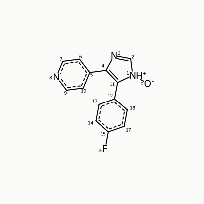 [O-][NH+]1C=NC(c2ccncc2)=C1c1ccc(F)cc1